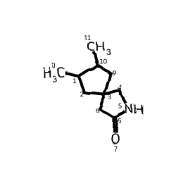 CC1CC2(CNC(=O)C2)CC1C